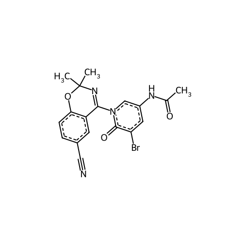 CC(=O)Nc1cc(Br)c(=O)n(C2=NC(C)(C)Oc3ccc(C#N)cc32)c1